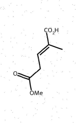 COC(=O)CC=C(C)C(=O)O